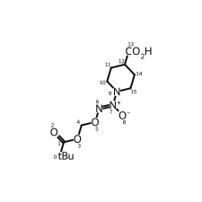 CC(C)(C)C(=O)OCO/N=[N+](\[O-])N1CCC(C(=O)O)CC1